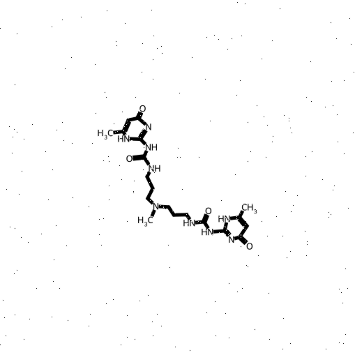 Cc1cc(=O)nc(NC(=O)NCCCN(C)CCCNC(=O)Nc2nc(=O)cc(C)[nH]2)[nH]1